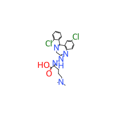 CN(C)CCC/C(=N\NC1=Nc2ccc(Cl)cc2C(c2ccccc2Cl)=NC1)C(=O)O